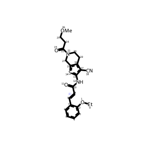 CCOc1ccccc1/C=C/C(=O)Nc1sc2c(c1C#N)CCN(C(=O)CCOC)C2